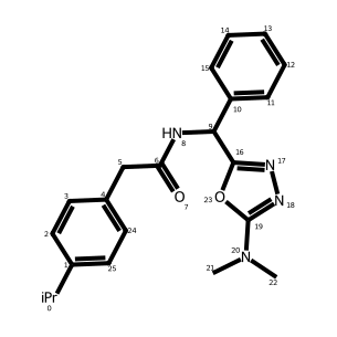 CC(C)c1ccc(CC(=O)NC(c2ccccc2)c2nnc(N(C)C)o2)cc1